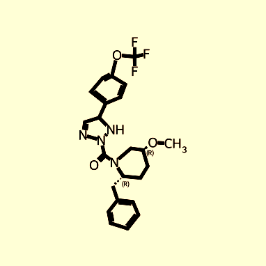 CO[C@@H]1CC[C@H](Cc2ccccc2)N(C(=O)N2N=CC(c3ccc(OC(F)(F)F)cc3)N2)C1